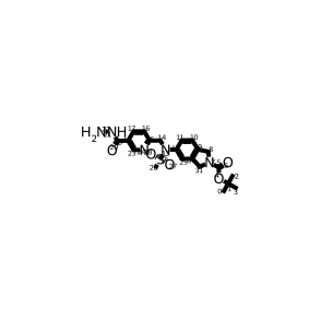 CC(C)(C)OC(=O)N1Cc2ccc(N(Cc3ccc(C(=O)NN)cn3)S(C)(=O)=O)cc2C1